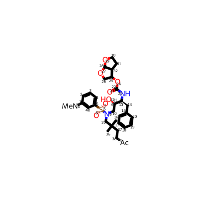 CNc1cccc(S(=O)(=O)N(C[C@@H](O)[C@H](Cc2ccccc2)NC(=O)OC2COC3OCCC23)CC(C)(C)CCC(C)=O)c1